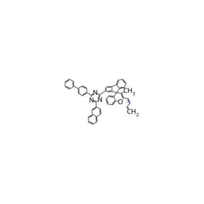 C=C/C=C\C1=C(C)C2(c3ccccc3O1)c1ccccc1-c1ccc(-c3nc(-c4ccc(-c5ccccc5)cc4)nc(-c4ccc5ccccc5c4)n3)cc12